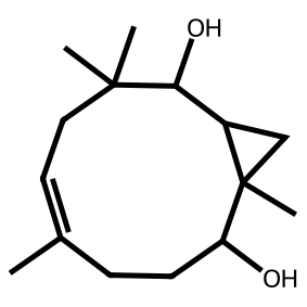 C/C1=C/CC(C)(C)C(O)C2CC2(C)C(O)CC1